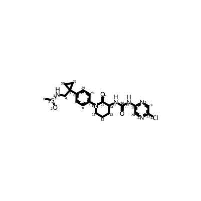 C[S+]([O-])NCC1(c2ccc(N3CCCC(NC(=O)Nc4cnc(Cl)cn4)C3=O)cc2)CC1